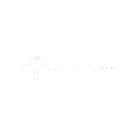 CCCCCCCCCCn1cnc(Cl)c1Cl